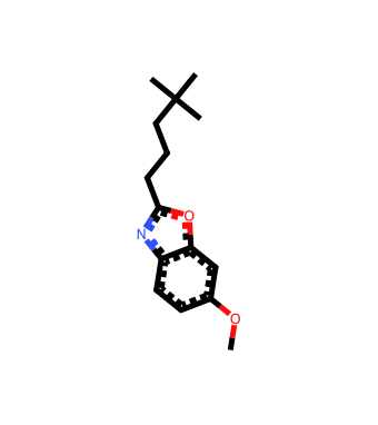 COc1ccc2nc(CCCC(C)(C)C)oc2c1